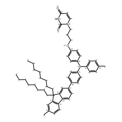 CCCCCCCCC1(CCCCCCCC)c2cc(C)ccc2-c2ccc(-c3ccc(N(c4ccc(C)cc4)c4ccc(OCCCn5ccc(=O)[nH]c5=O)cc4)cc3)cc21